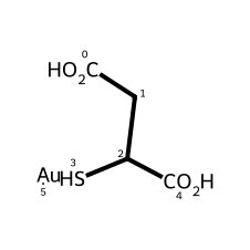 O=C(O)CC(S)C(=O)O.[Au]